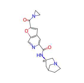 O=C(N[C@@H]1CC2CCN(C2)C1)c1cc2cc(C(=O)N3CC3)oc2cn1